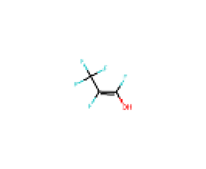 OC(F)=C(F)C(F)(F)F